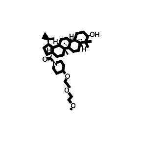 COCCOCCOC1CCN(C(=O)[C@]23CC[C@@H](C4(C)CC4)[C@@H]2[C@H]2CC[C@@H]4[C@@]5(C)CC[C@H](O)C(C)(C)[C@@H]5CC[C@@]4(C)[C@]2(C)CC3)CC1